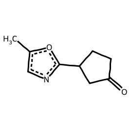 Cc1cnc(C2CCC(=O)C2)o1